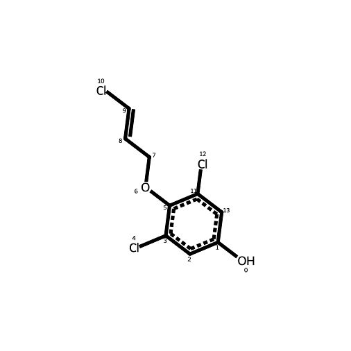 Oc1cc(Cl)c(OCC=CCl)c(Cl)c1